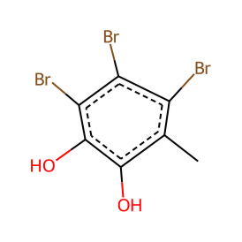 Cc1c(O)c(O)c(Br)c(Br)c1Br